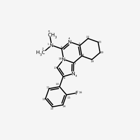 CN(C)c1nc2c(c3nc(-c4ccccc4F)cn13)CCCC2